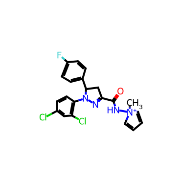 C[N+]1(NC(=O)C2=NN(c3ccc(Cl)cc3Cl)C(c3ccc(F)cc3)C2)C=CC=C1